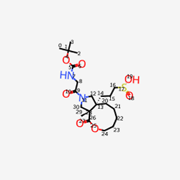 CC(C)(C)OC(=O)NCC(=O)N1C[C@@]2(CCCS(=O)O)CCCCCOC(=O)[C@]2(C)C1